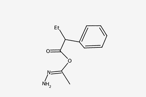 CCC(C(=O)OC(C)=NN)c1ccccc1